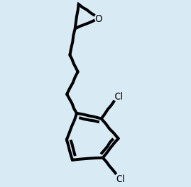 Clc1ccc(CCCC2CO2)c(Cl)c1